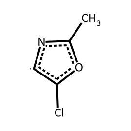 Cc1n[c]c(Cl)o1